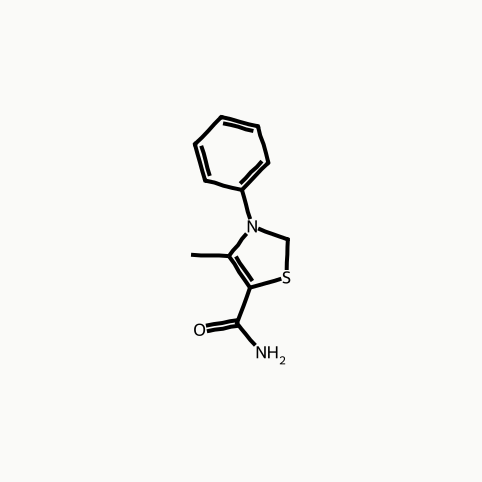 CC1=C(C(N)=O)SCN1c1ccccc1